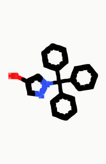 Oc1cnn(C(c2ccccc2)(c2ccccc2)c2ccccc2)c1